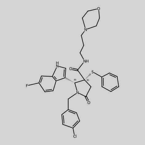 O=C1C[C@](Sc2ccccc2)(C(=O)NCCCN2CCOCC2)[C@@H](c2c[nH]c3cc(F)ccc23)N1Cc1ccc(Cl)cc1